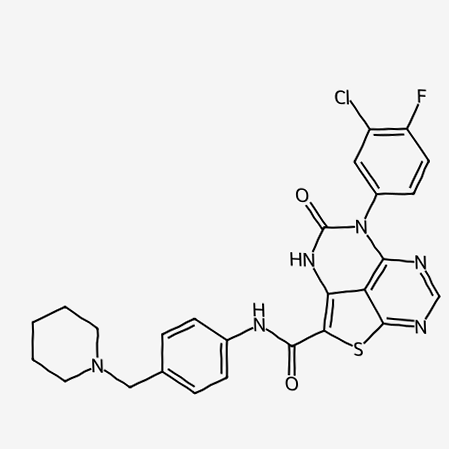 O=C(Nc1ccc(CN2CCCCC2)cc1)c1sc2ncnc3c2c1NC(=O)N3c1ccc(F)c(Cl)c1